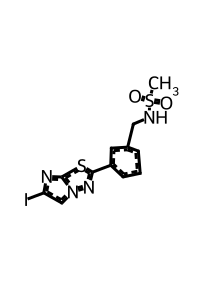 CS(=O)(=O)NCc1cccc(-c2nn3cc(I)nc3s2)c1